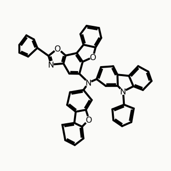 c1ccc(-c2nc3cc(N(c4ccc5c(c4)oc4ccccc45)c4ccc5c6ccccc6n(-c6ccccc6)c5c4)c4oc5ccccc5c4c3o2)cc1